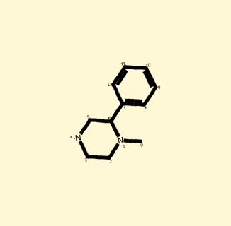 CN1CC[N]CC1c1ccccc1